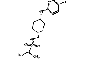 CC(C)S(=O)(=O)NC[C@H]1CC[C@H](Nc2ccc(Cl)cn2)CC1